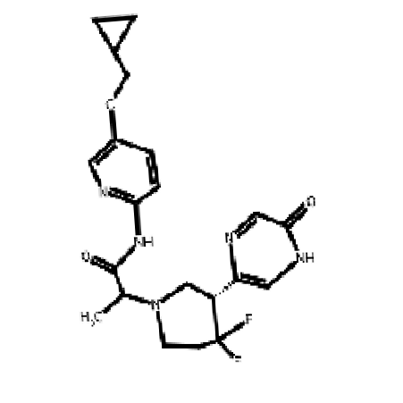 CC(C(=O)Nc1ccc(OCC2CC2)cn1)N1CCC(F)(F)[C@@H](c2c[nH]c(=O)cn2)C1